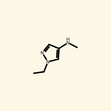 CCn1cc(NC)cn1